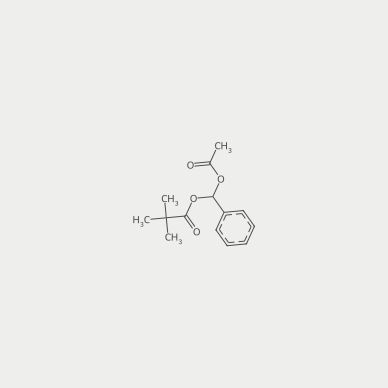 CC(=O)OC(OC(=O)C(C)(C)C)c1ccccc1